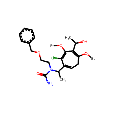 CCOC1=C(C(C)O)C(OCC)=C(Cl)C(C(C)N(CCOCc2ccccc2)C(N)=O)=CC1